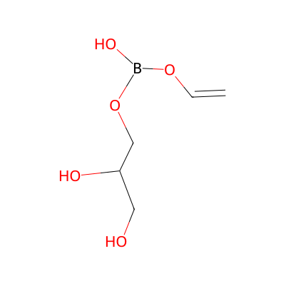 C=COB(O)OCC(O)CO